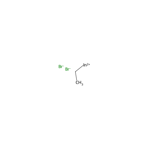 C[CH2][In+2].[Br-].[Br-]